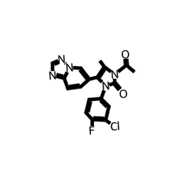 CC(=O)n1c(C)c(-c2ccc3ncnn3c2)n(-c2ccc(F)c(Cl)c2)c1=O